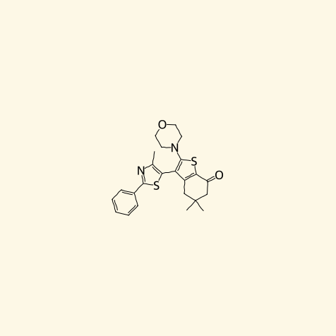 Cc1nc(-c2ccccc2)sc1-c1c(N2CCOCC2)sc2c1CC(C)(C)CC2=O